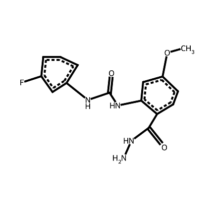 COc1ccc(C(=O)NN)c(NC(=O)Nc2cccc(F)c2)c1